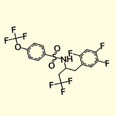 O=S(=O)(NC(Cc1cc(F)c(F)cc1F)CC(F)(F)F)c1ccc(OC(F)(F)F)cc1